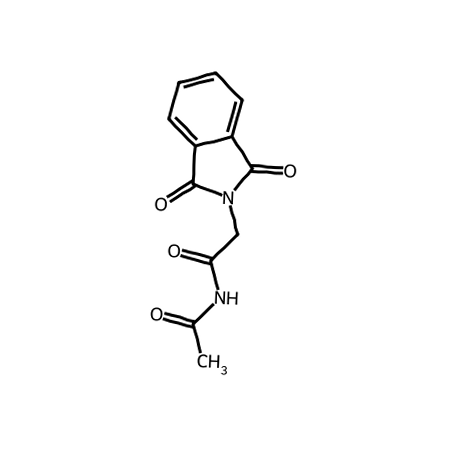 CC(=O)NC(=O)CN1C(=O)c2ccccc2C1=O